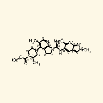 COc1nc2nn(C)cc2cc1NC(=O)N1CCc2c1ncc(C)c2N1CCN(C(=O)OC(C)(C)C)[C@@H](C)C1